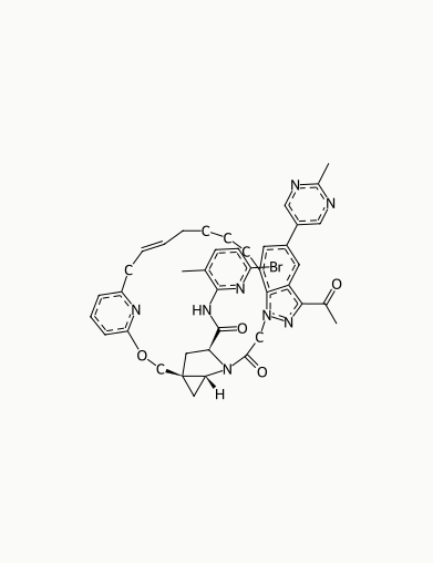 CC(=O)c1nn2c3c(cc(-c4cnc(C)nc4)cc13)CCCC/C=C/Cc1cccc(n1)OC[C@@]13C[C@@H](C(=O)Nc4nc(Br)ccc4C)N(C(=O)C2)[C@@H]1C3